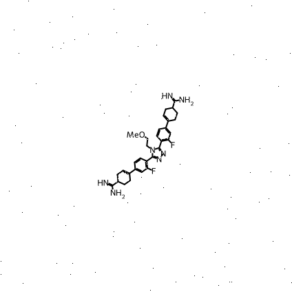 COCCn1c(-c2ccc(C3=CCC(C(=N)N)CC3)cc2F)nnc1-c1ccc(C2=CCC(C(=N)N)CC2)cc1F